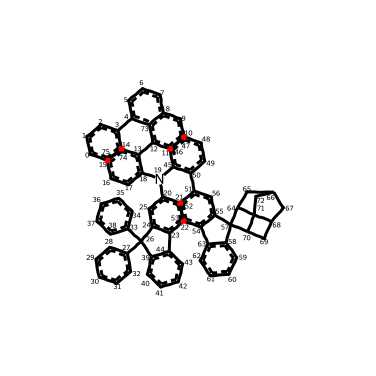 c1ccc(-c2cccc3cccc(-c4ccccc4N(c4ccc5c(c4)C(c4ccccc4)(c4ccccc4)c4ccccc4-5)c4ccccc4-c4ccc5c(c4)C4(c6ccccc6-5)C5CC6CC7CC4C75C6)c23)cc1